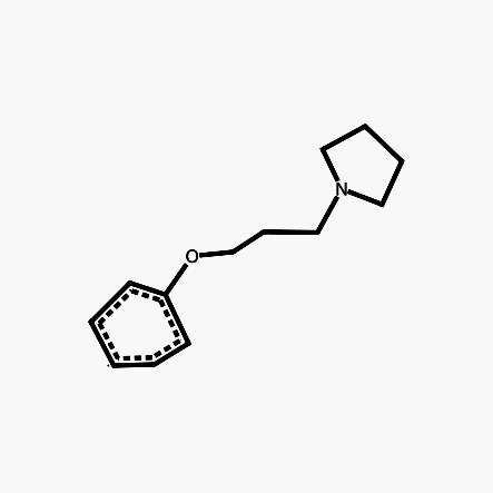 [c]1ccc(OCCCN2CCCC2)cc1